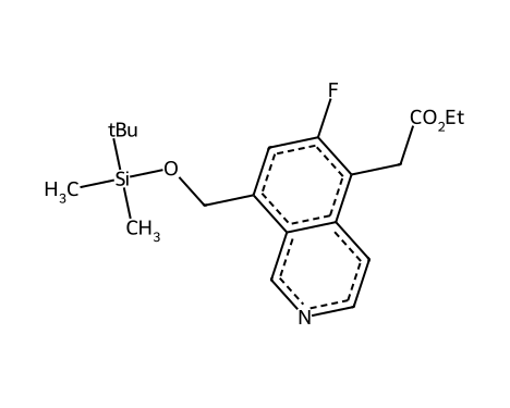 CCOC(=O)Cc1c(F)cc(CO[Si](C)(C)C(C)(C)C)c2cnccc12